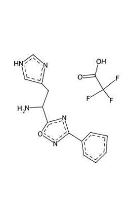 NC(Cc1c[nH]cn1)c1nc(-c2ccccc2)no1.O=C(O)C(F)(F)F